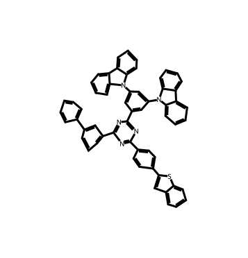 c1ccc(-c2cccc(-c3nc(-c4ccc(-c5cc6ccccc6s5)cc4)nc(-c4cc(-n5c6ccccc6c6ccccc65)cc(-n5c6ccccc6c6ccccc65)c4)n3)c2)cc1